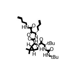 C=CCCNC(=O)C(=O)[C@H](CCC=C)NC(=O)[C@@H]1[C@@H]2[C@H](CN1C(=O)[C@@H](NC(=O)NC(C)(C)C)C(C)(C)C)C2(C)C